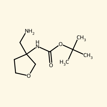 CC(C)(C)OC(=O)NC1(CN)CCOC1